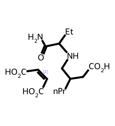 CCCC(CNC(CC)C(N)=O)CC(=O)O.O=C(O)/C=C\C(=O)O